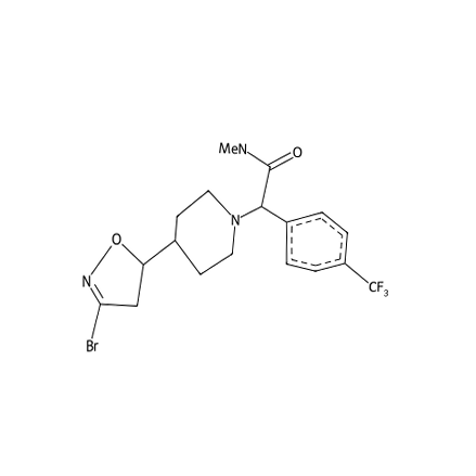 CNC(=O)C(c1ccc(C(F)(F)F)cc1)N1CCC(C2CC(Br)=NO2)CC1